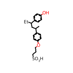 CCC(CC(C)c1ccc(OCCCS(=O)(=O)O)cc1)c1ccc(O)cc1